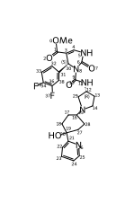 COC(=O)C1=CNC(=O)N(C(=O)N[C@@H]2CCN(C3CCC(O)(c4ccccn4)CC3)C2)[C@H]1c1ccc(F)c(F)c1